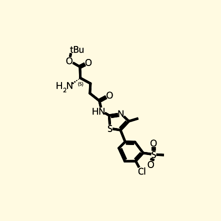 Cc1nc(NC(=O)CC[C@H](N)C(=O)OC(C)(C)C)sc1-c1ccc(Cl)c(S(C)(=O)=O)c1